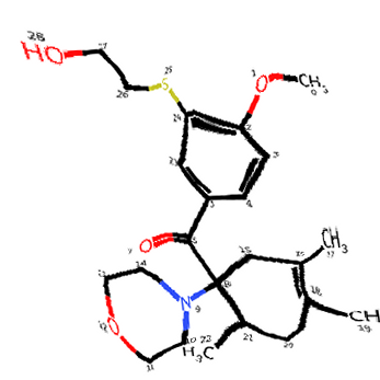 COc1ccc(C(=O)C2(N3CCOCC3)CC(C)=C(C)CC2C)cc1SCCO